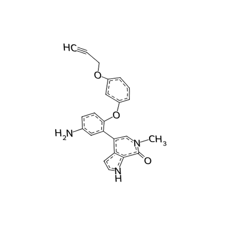 C#CCOc1cccc(Oc2ccc(N)cc2-c2cn(C)c(=O)c3[nH]ccc23)c1